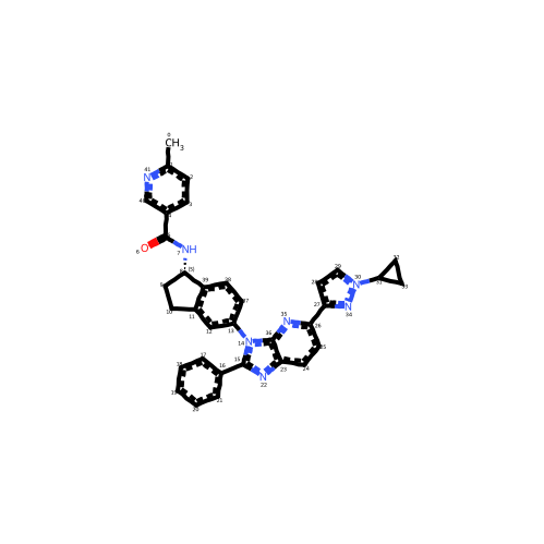 Cc1ccc(C(=O)N[C@H]2CCc3cc(-n4c(-c5ccccc5)nc5ccc(-c6ccn(C7CC7)n6)nc54)ccc32)cn1